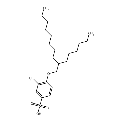 CCCCCCCCC(CCCCCC)COc1ccc(S(=O)(=O)O)cc1C